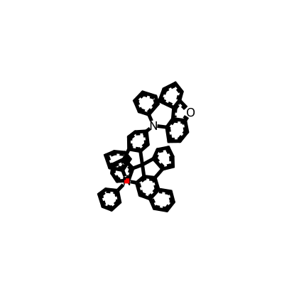 c1ccc(N(c2ccccc2)c2cc3ccccc3c3c2C2(c4ccccc4-c4ccc(N(c5ccccc5)c5cccc6oc7ccccc7c56)cc42)c2ccccc2-3)cc1